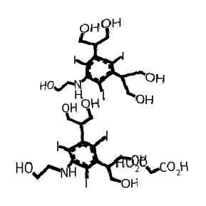 O=C(O)CC(=O)O.OCCNc1c(I)c(C(CO)CO)c(I)c(C(CO)CO)c1I.OCCNc1c(I)c(C(CO)CO)c(I)c(C(CO)CO)c1I